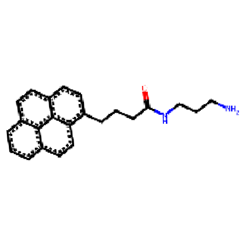 NCCCNC(=O)CCCc1ccc2ccc3cccc4ccc1c2c34